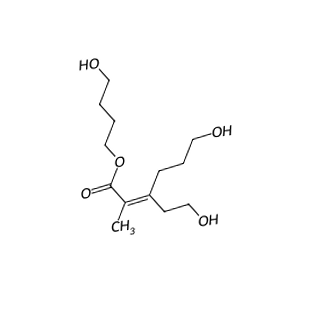 CC(C(=O)OCCCCO)=C(CCO)CCCO